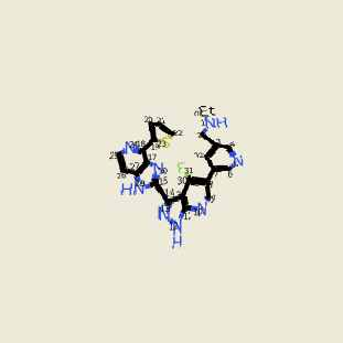 CCNCc1cncc(-c2cnc3[nH]nc(-c4nc5c(-c6cccs6)nccc5[nH]4)c3c2F)c1